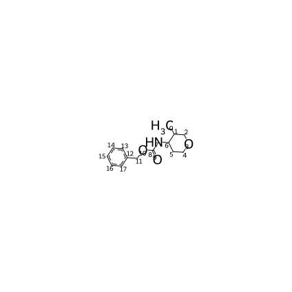 CC1COCCC1NC(=O)OCc1ccccc1